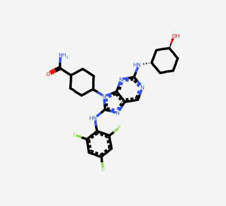 NC(=O)C1CCC(n2c(Nc3c(F)cc(F)cc3F)nc3cnc(N[C@H]4CCC[C@H](O)C4)nc32)CC1